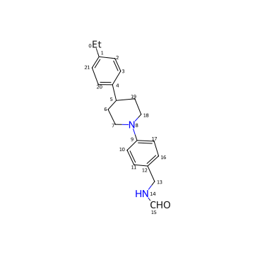 CCc1ccc(C2CCN(c3ccc(CNC=O)cc3)CC2)cc1